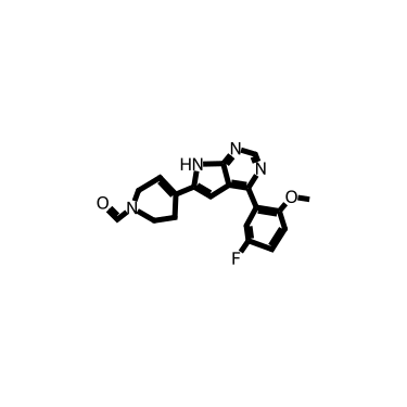 COc1ccc(F)cc1-c1ncnc2[nH]c(C3=CCN(C=O)CC3)cc12